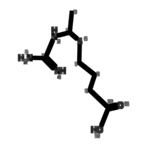 CC(NC(=N)N)SCCCC(=O)O